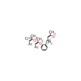 CC(=O)/C=C(/C)[O-].CC(=O)/C=C(/C)[O-].CC(=O)/C=C(/C)[O-].Cc1ccccc1.[Cr+3]